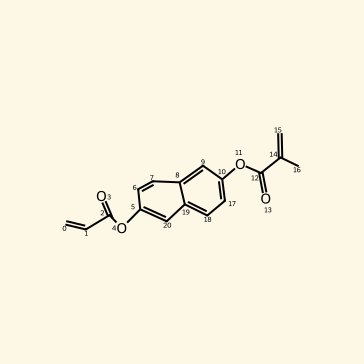 C=CC(=O)Oc1ccc2cc(OC(=O)C(=C)C)ccc2c1